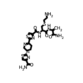 C=C(NC(=O)C(CSCCN)NC(=O)c1csc(C2=NC[C@@H](c3nc(C(N)=O)cs3)CC2)n1)C(N)=O